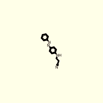 N#CCCNc1ccc(N=Nc2ccccc2)cc1